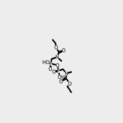 CCOC(=O)N(C)CP(=O)(O)OP(=O)(O)CN(C)C(=O)OCC